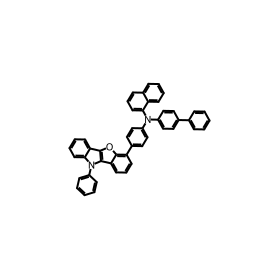 c1ccc(-c2ccc(N(c3ccc(-c4cccc5c4oc4c6ccccc6n(-c6ccccc6)c54)cc3)c3cccc4ccccc34)cc2)cc1